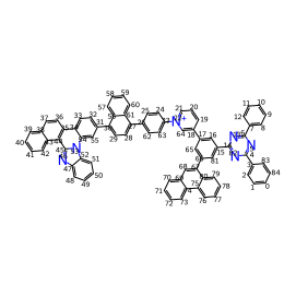 c1ccc(-c2nc(-c3ccccc3)nc(-c3cc(-c4ccc[n+](-c5ccc(-c6ccc(-c7ccc8c9ccc%10ccccc%10c9c9nc%10ccccc%10n9c8c7)c7ccccc67)cc5)c4)cc(-c4cc5ccccc5c5ccccc45)c3)n2)cc1